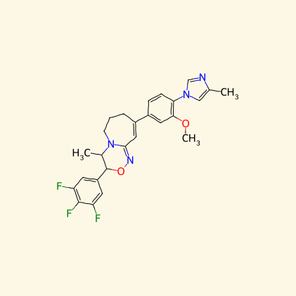 COc1cc(C2=CC3=NOC(c4cc(F)c(F)c(F)c4)C(C)N3CCC2)ccc1-n1cnc(C)c1